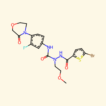 COCCN(NC(=O)c1ccc(Br)s1)C(=O)Nc1ccc(N2CCOCC2=O)c(F)c1